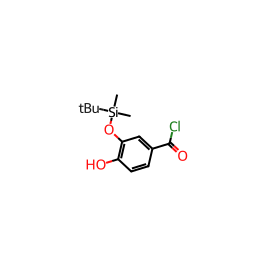 CC(C)(C)[Si](C)(C)Oc1cc(C(=O)Cl)ccc1O